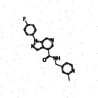 Cc1cc(CNC(=O)c2cncc3c2cnn3-c2ccc(F)cc2)ccn1